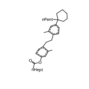 CCCCCCCC(=O)Oc1ccc(CCc2ccc(C3(CCCCC)CCCCC3)cc2C)c(C)c1